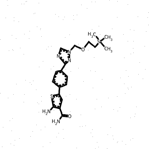 C[Si](C)(C)CCOCn1cnc(-c2ccc(-c3cc(C(N)=O)c(N)s3)cc2)n1